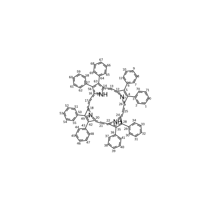 c1ccc(C2=C(c3ccccc3)c3cc4[nH]c(cc5nc(cc6[nH]c(cc2n3)c(-c2ccccc2)c6-c2ccccc2)C(c2ccccc2)=C5c2ccccc2)c(-c2ccccc2)c4-c2ccccc2)cc1